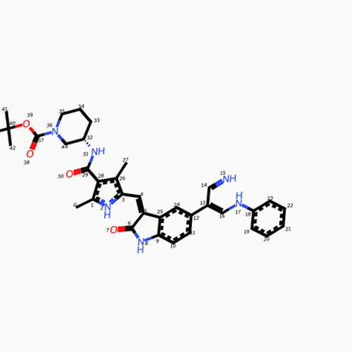 Cc1[nH]c(/C=C2\C(=O)Nc3ccc(/C(C=N)=C/Nc4ccccc4)cc32)c(C)c1C(=O)N[C@H]1CCCN(C(=O)OC(C)(C)C)C1